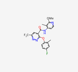 COc1nccc(NC(=O)c2cc(C(F)(F)F)nnc2Oc2ccc(F)cc2C)c1C